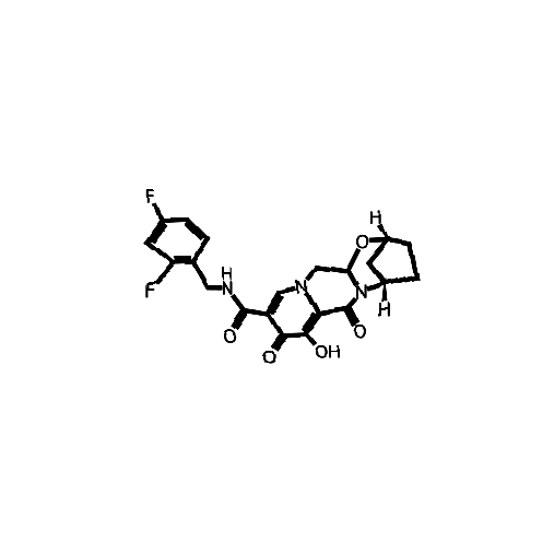 O=C(NCc1ccc(F)cc1F)c1cn2c(c(O)c1=O)C(=O)N1C(C2)O[C@@H]2CC[C@H]1C2